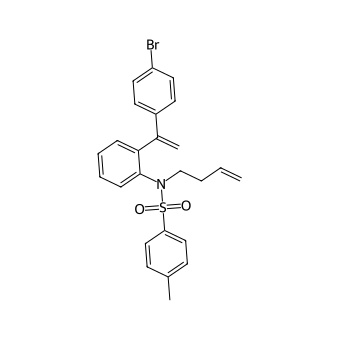 C=CCCN(c1ccccc1C(=C)c1ccc(Br)cc1)S(=O)(=O)c1ccc(C)cc1